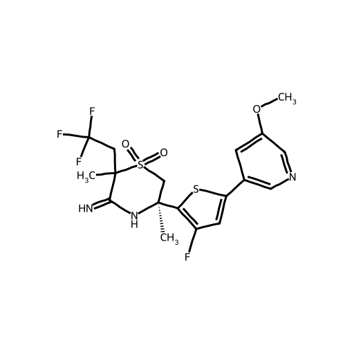 COc1cncc(-c2cc(F)c([C@]3(C)CS(=O)(=O)C(C)(CC(F)(F)F)C(=N)N3)s2)c1